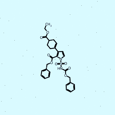 CCOC(=O)C1CC=C(c2ccn(S(=O)(=O)NC(=O)OCc3ccccc3)c2C(=O)OCc2ccccc2)CC1